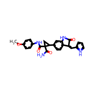 COc1ccc(NC(=O)C2(C(N)=O)CC2c2ccc3c(c2)NC(=O)C3=Cc2ccc[nH]2)cc1